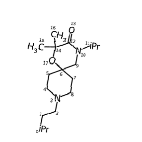 CC(C)CCN1CCC2(CC1)CN(C(C)C)C(=O)C(C)(C)O2